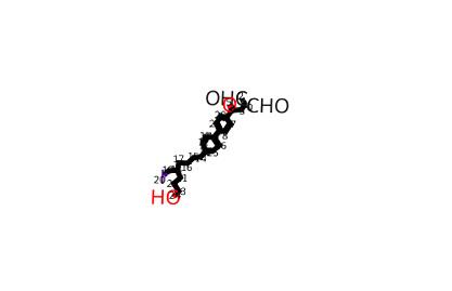 O=CC(C=O)CC(=O)c1ccc(-c2ccc(CCCCC(CI)CCCO)cc2)cc1